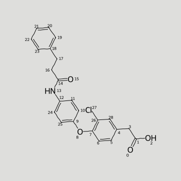 O=C(O)Cc1ccc(Oc2ccc(NC(=O)CCc3ccccc3)cc2)c(Cl)c1